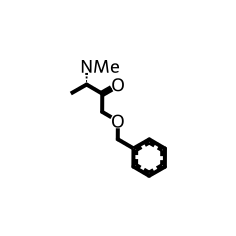 CN[C@@H](C)C(=O)COCc1ccccc1